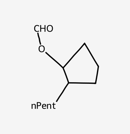 CCCCCC1CCCC1OC=O